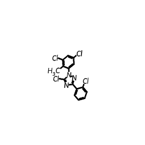 Cc1c(Cl)cc(Cl)cc1-n1nc(-c2ccccc2Cl)nc1Cl